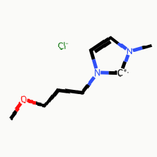 COCCCN1[C+]N(C)C=C1.[Cl-]